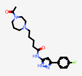 CC(=O)N1CCCN(CCCCC(=O)Nc2cc(-c3ccc(F)cc3)n[nH]2)CC1